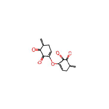 C=C1CC=C(OC2=CCC(=C)C(=O)C2=O)C(=O)C1=O